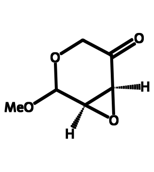 COC1OCC(=O)[C@H]2O[C@@H]12